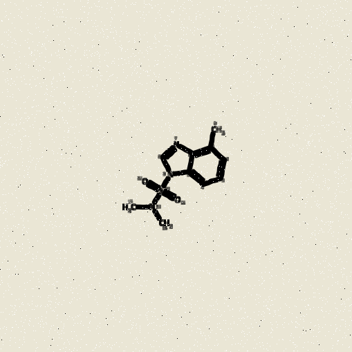 Cc1cccc2c1n[c]n2S(=O)(=O)N(C)C